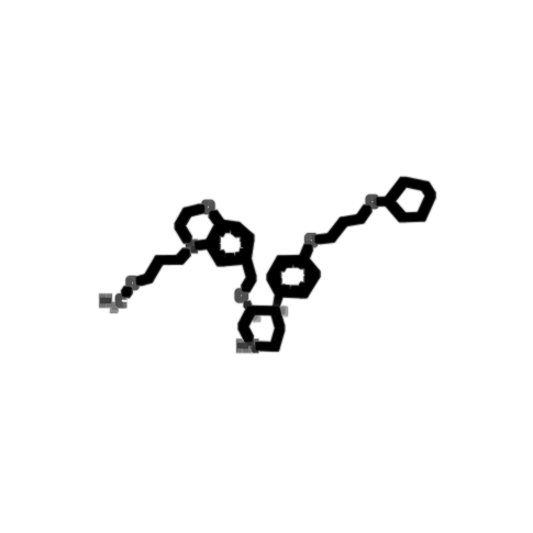 COCCCN1CCOc2ccc(CO[C@H]3CNCC[C@@H]3c3ccc(OCCCOC4CCCCC4)cc3)cc21